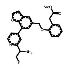 COC(=O)Cc1ccccc1OCc1cc(-c2ccnc(C(N)CF)c2)c2occc2c1